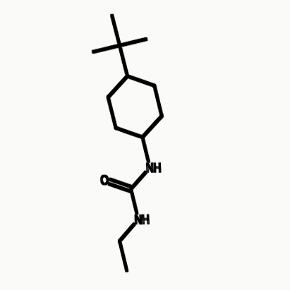 CCNC(=O)NC1CCC(C(C)(C)C)CC1